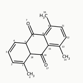 CC1=CC=CC2C(=O)c3c(C)ccc(C)c3C(=O)C12